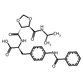 CC(C)NC(=O)[C@@H]1OCO[C@H]1C(=O)N[C@@H](Cc1ccc(NC(=O)c2ccccc2)cc1)C(=O)O